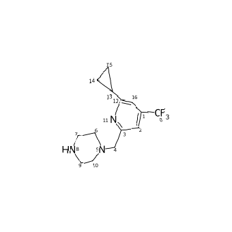 FC(F)(F)c1cc(CN2CCNCC2)nc(C2CC2)c1